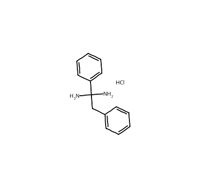 Cl.NC(N)(Cc1ccccc1)c1ccccc1